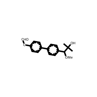 COC(c1ccc(-c2ccc(OC=O)cc2)cc1)C(C)(C)O